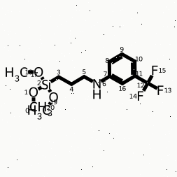 CO[Si](CCCNc1cccc(C(F)(F)F)c1)(OC)OC